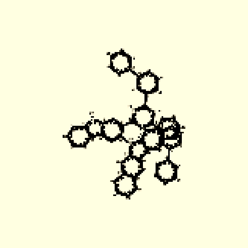 c1ccc(-c2cccc(-c3nc(-c4cccc(-c5ccccc5)c4)nc(-c4cc5oc6ccccc6c5cc4-n4c5cc6ccccc6cc5c5cc6ccccc6cc54)n3)c2)cc1